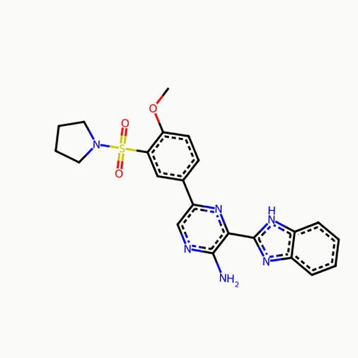 COc1ccc(-c2cnc(N)c(-c3nc4ccccc4[nH]3)n2)cc1S(=O)(=O)N1CCCC1